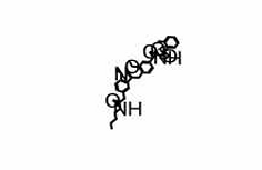 CCCCNC(=O)Cc1ccc2c(c1)c(Cc1ccc(C(=O)NS(=O)(=O)c3ccccc3C)cc1OC)cn2C